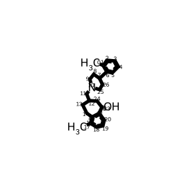 Cc1ccccc1C1CCN(CC2CCc3c(C)cccc3C(O)C2)CC1